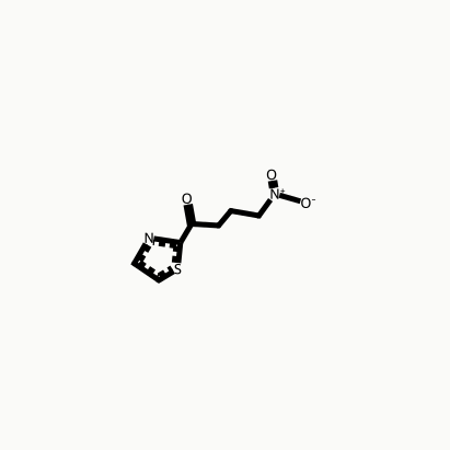 O=C(CCC[N+](=O)[O-])c1nccs1